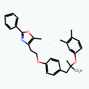 Cc1ccc(OC(C)(Cc2ccc(OCCc3nc(-c4ccccc4)oc3C)cc2)C(=O)O)cc1C